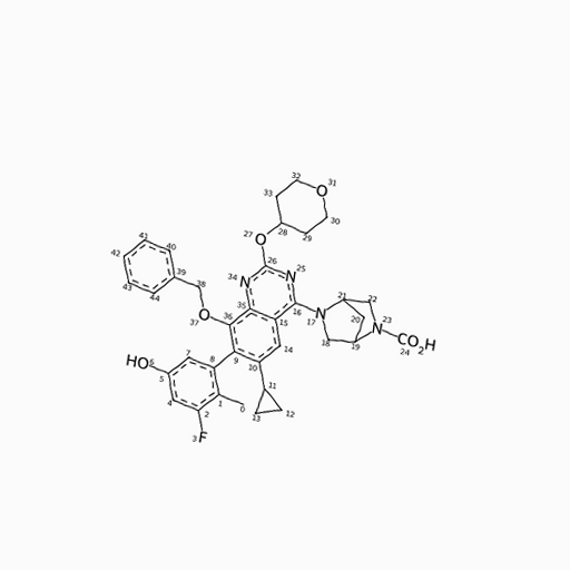 Cc1c(F)cc(O)cc1-c1c(C2CC2)cc2c(N3CC4CC3CN4C(=O)O)nc(OC3CCOCC3)nc2c1OCc1ccccc1